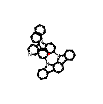 c1ccc(-c2ccc(-n3c4ccccc4c4ccc5c6ccccc6n(-c6ccc7c(c6)c6cnccc6n7-c6ccccc6)c5c43)cc2)cc1